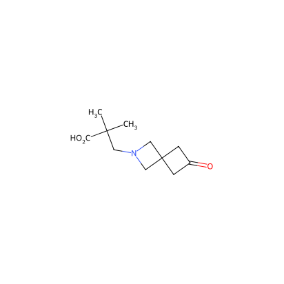 CC(C)(CN1CC2(CC(=O)C2)C1)C(=O)O